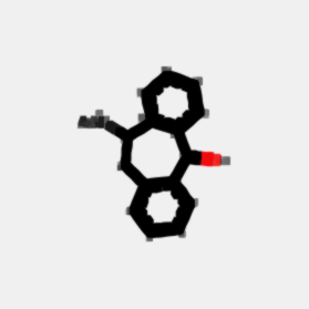 CC(=O)NC1Cc2ccccc2C(=O)c2ccccc21